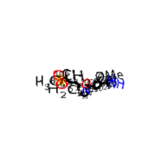 C=C(/C=C\C=C(/C)S(C)(=O)=O)[C@H]1CCCN1C(=O)c1ccc(-c2cn[nH]c2)c(OC)c1